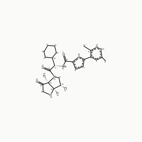 Cc1cc(-c2ccc(C(=O)N[C@H](C(=O)N3C[C@H](Cl)[C@H]4OCC(=O)[C@H]43)C3CCCCC3)s2)c(C)nn1